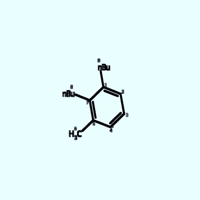 CCCCc1cc[c]c(C)c1CCCC